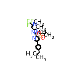 C=N/C(=C\c1nc(-c2ncc(-c3ccc(CC(C)C)cc3)cc2S(=O)(=O)CC)n(C)c1C)C(F)(F)F